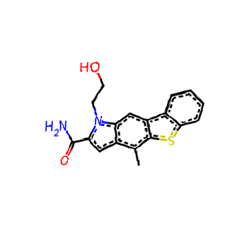 Cc1c2cc(C(N)=O)n(CCO)c2cc2c1sc1ccccc12